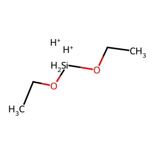 CCO[SiH2]OCC.[H+].[H+]